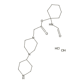 Cl.Cl.O=CNC1(OC(=O)CN2CCN(C3CCNCC3)CC2)CCCCC1